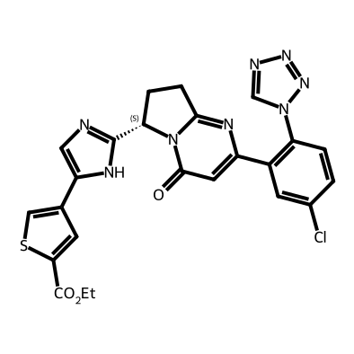 CCOC(=O)c1cc(-c2cnc([C@@H]3CCc4nc(-c5cc(Cl)ccc5-n5cnnn5)cc(=O)n43)[nH]2)cs1